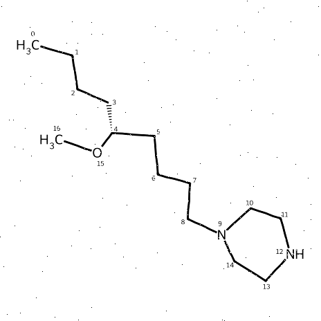 CCCC[C@H](CCCCN1CCNCC1)OC